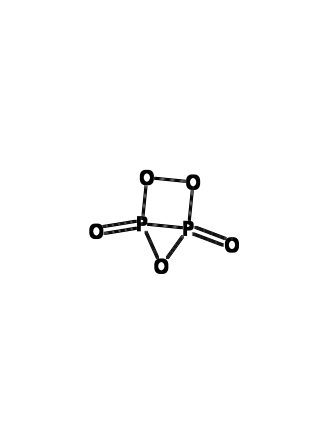 O=P12OOP1(=O)O2